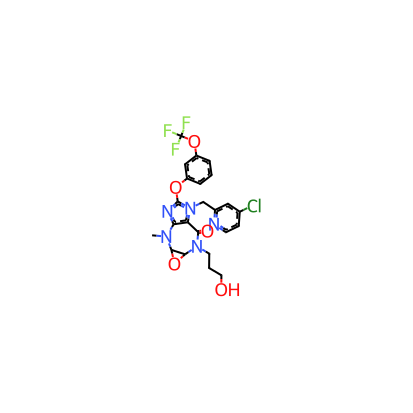 CN1c2nc(Oc3cccc(OC(F)(F)F)c3)n(Cc3cc(Cl)ccn3)c2C(=O)N(CCCO)C2OC21